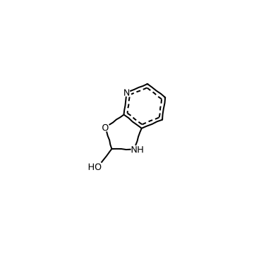 OC1Nc2cccnc2O1